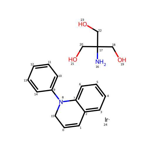 C1=Cc2ccccc2N(c2ccccc2)C1.NC(CO)(CO)CO.[Ir]